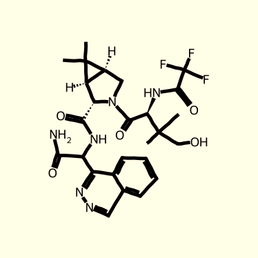 CC(C)(CO)[C@H](NC(=O)C(F)(F)F)C(=O)N1C[C@H]2[C@@H]([C@H]1C(=O)NC(C(N)=O)c1nncc3ccccc13)C2(C)C